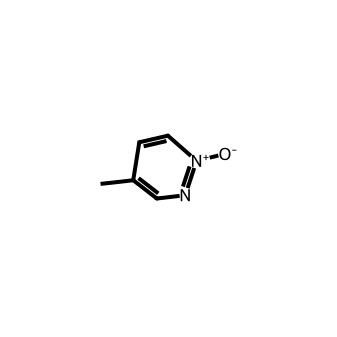 Cc1cc[n+]([O-])nc1